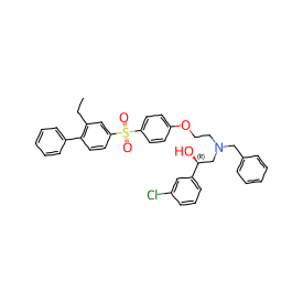 CCc1cc(S(=O)(=O)c2ccc(OCCN(Cc3ccccc3)C[C@H](O)c3cccc(Cl)c3)cc2)ccc1-c1ccccc1